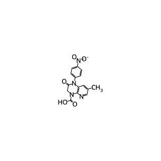 Cc1cnc2c(c1)N(c1ccc([N+](=O)[O-])cc1)C(=O)CN2C(=O)O